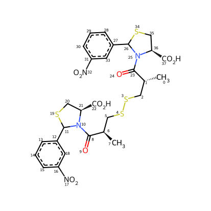 C[C@H](CSSC[C@@H](C)C(=O)N1C(c2cccc([N+](=O)[O-])c2)SC[C@H]1C(=O)O)C(=O)N1C(c2cccc([N+](=O)[O-])c2)SC[C@H]1C(=O)O